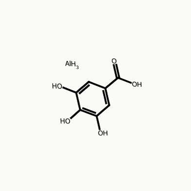 O=C(O)c1cc(O)c(O)c(O)c1.[AlH3]